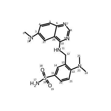 CN(C)c1ccc2ncnc(NCc3cc(S(N)(=O)=O)ccc3N(C)C)c2c1